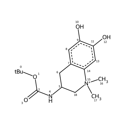 CC(C)(C)OC(=O)NC1Cc2cc(O)c(O)cc2[N+](C)(C)C1